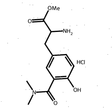 COC(=O)C(N)Cc1ccc(O)c(C(=O)N(C)C)c1.Cl